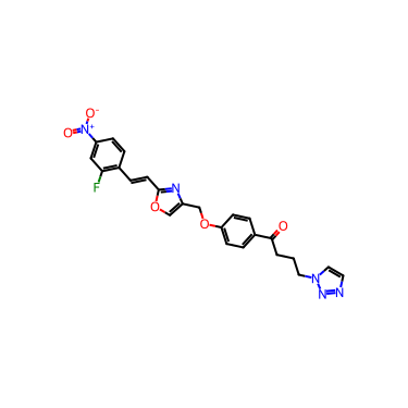 O=C(CCCn1ccnn1)c1ccc(OCc2coc(/C=C/c3ccc([N+](=O)[O-])cc3F)n2)cc1